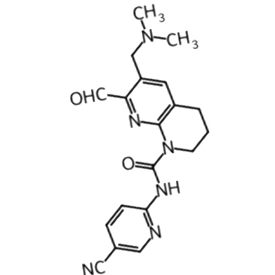 CN(C)Cc1cc2c(nc1C=O)N(C(=O)Nc1ccc(C#N)cn1)CCC2